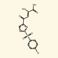 O=C(O)C(O)=CC(=O)c1cnn(S(=O)(=O)c2ccc(Cl)cc2)n1